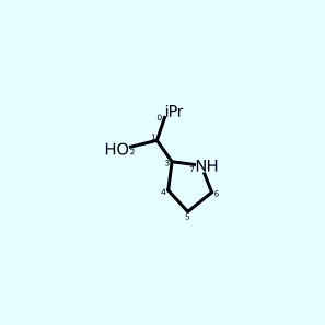 CC(C)C(O)C1CCCN1